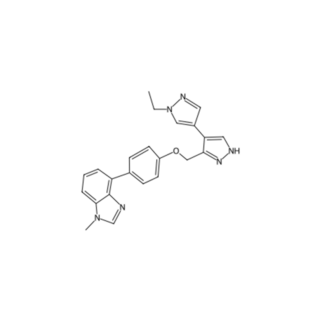 CCn1cc(-c2c[nH]nc2COc2ccc(-c3cccc4c3ncn4C)cc2)cn1